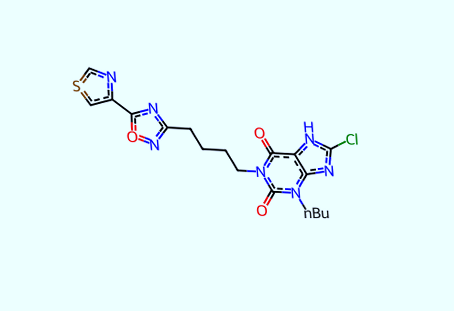 CCCCn1c(=O)n(CCCCc2noc(-c3cscn3)n2)c(=O)c2[nH]c(Cl)nc21